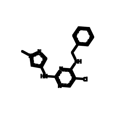 Cn1cc(Nc2ncc(Cl)c(NCc3ccccc3)n2)cn1